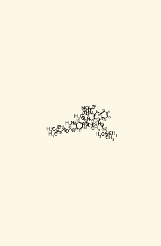 CC(C)CN(C([C@H](OCOCC[Si](C)(C)C)[C@H](Cc1ccccc1)NC(=O)O)C(C)(C)C)S(=O)(=O)c1ccc(OCOCC[Si](C)(C)C)c(N)c1